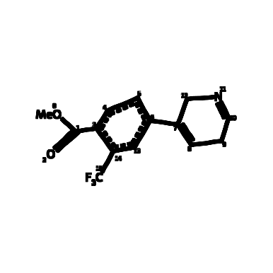 COC(=O)c1ccc(C2=CCC=NC2)cc1C(F)(F)F